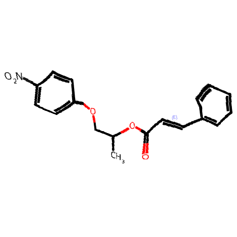 CC(COc1ccc([N+](=O)[O-])cc1)OC(=O)/C=C/c1ccccc1